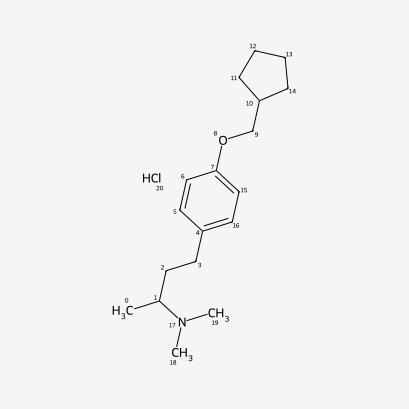 CC(CCc1ccc(OCC2CCCC2)cc1)N(C)C.Cl